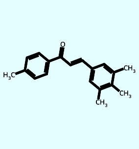 Cc1ccc(C(=O)/C=C/c2cc(C)c(C)c(C)c2)cc1